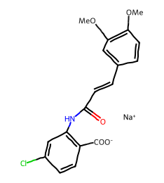 COc1ccc(C=CC(=O)Nc2cc(Cl)ccc2C(=O)[O-])cc1OC.[Na+]